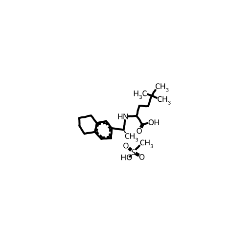 CS(=O)(=O)O.C[C@@H](NC(CCC(C)(C)C)C(=O)O)c1ccc2c(c1)CCCC2